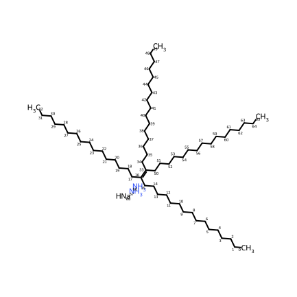 CCCCCCCCCCCCCCCCC(CCCCCCCCCCCCCCCC)=C(CCCCCCCCCCCCCCCC)CCCCCCCCCCCCCCCC.N.N.[NaH]